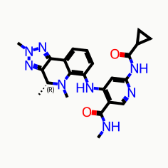 CNC(=O)c1cnc(NC(=O)C2CC2)cc1Nc1cccc2c1N(C)[C@H](C)c1nn(C)nc1-2